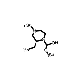 CCCCN1CCN(C(O)OC(C)(C)C)[C@@H](CS)C1